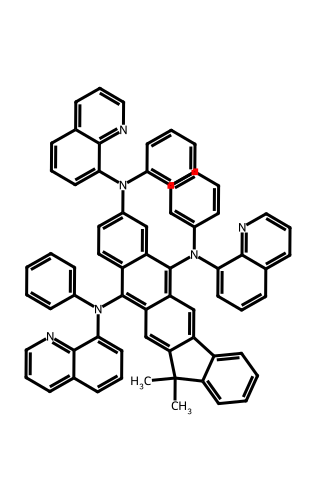 CC1(C)c2ccccc2-c2cc3c(N(c4ccccc4)c4cccc5cccnc45)c4cc(N(c5ccccc5)c5cccc6cccnc56)ccc4c(N(c4ccccc4)c4cccc5cccnc45)c3cc21